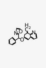 C=C1CC(OC(c2ccccc2)c2ncco2)=Cc2cccnc21